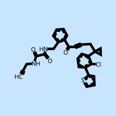 C#CCNC(=O)C(=O)NCc1ccccc1C(=O)C#CCC1(c2cccc(-c3cccs3)c2Cl)CC1